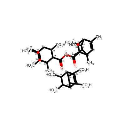 CC1=CC2(C)C(C(=O)O)C(C(=O)O)C1C(C(=O)O)C2C(=O)OC(=O)C1C(C(=O)O)C2C(C)=CC1(C)C(C(=O)O)C2C(=O)O.O=C(O)C1C2C=CC(C1C(=O)O)C(C(=O)O)C2C(=O)O